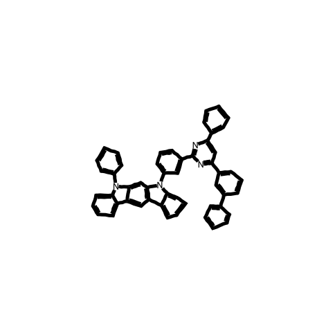 c1ccc(-c2cccc(-c3cc(-c4ccccc4)nc(-c4cccc(-n5c6ccccc6c6cc7c8ccccc8n(-c8ccccc8)c7cc65)c4)n3)c2)cc1